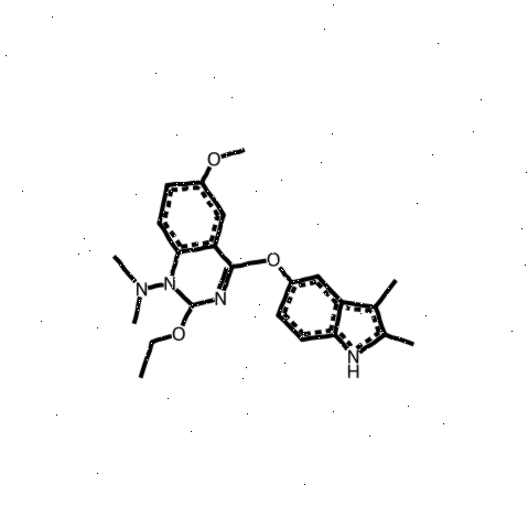 CCOC1N=C(Oc2ccc3[nH]c(C)c(C)c3c2)c2cc(OC)ccc2N1N(C)C